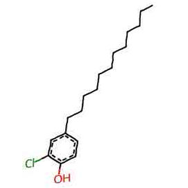 CCCCCCCCCCCCc1ccc(O)c(Cl)c1